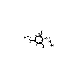 [N-]=[N+]=Nc1c(F)cc(CO)cc1F